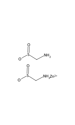 NCS(=O)[O-].NCS(=O)[O-].[Zn+2]